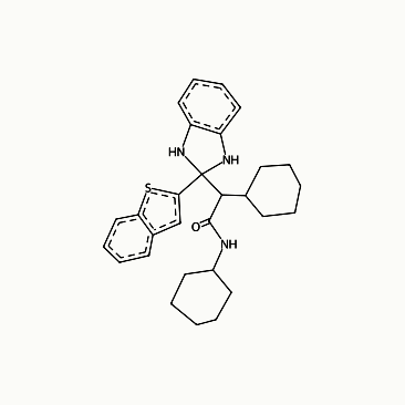 O=C(NC1CCCCC1)C(C1CCCCC1)C1(c2cc3ccccc3s2)Nc2ccccc2N1